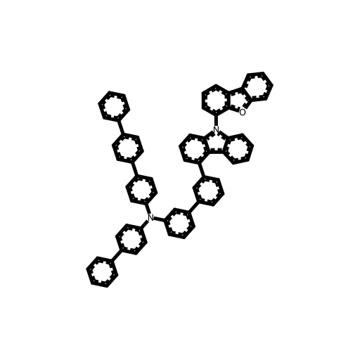 c1ccc(-c2ccc(-c3ccc(N(c4ccc(-c5ccccc5)cc4)c4cccc(-c5cccc(-c6cccc7c6c6ccccc6n7-c6cccc7c6oc6ccccc67)c5)c4)cc3)cc2)cc1